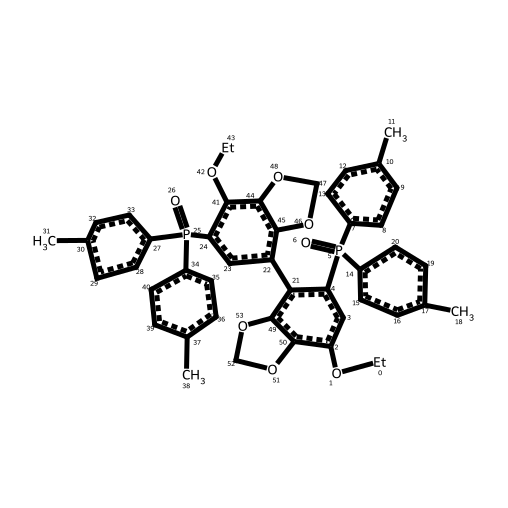 CCOc1cc(P(=O)(c2ccc(C)cc2)c2ccc(C)cc2)c(-c2cc(P(=O)(c3ccc(C)cc3)c3ccc(C)cc3)c(OCC)c3c2OCO3)c2c1OCO2